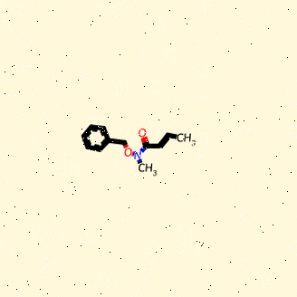 CC=CC(=O)N(C)OCc1ccccc1